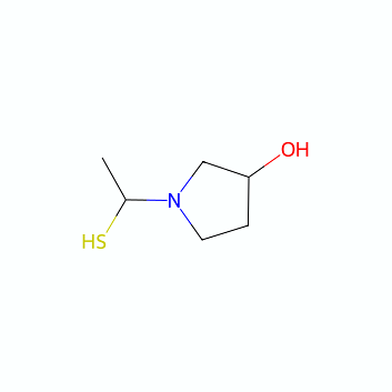 CC(S)N1CCC(O)C1